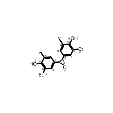 CCc1cc([S+]([O-])c2cc(C)c(O)c(CC)c2)cc(C)c1O